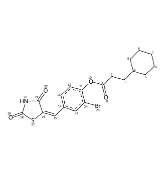 O=C(CCC1CCCCC1)Oc1ccc(C=C2SC(=O)NC2=O)cc1Br